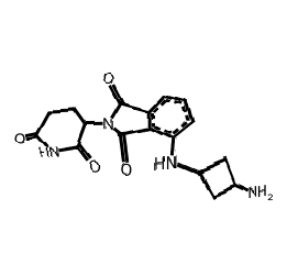 NC1CC(Nc2cccc3c2C(=O)N(C2CCC(=O)NC2=O)C3=O)C1